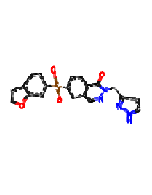 O=c1c2ccc(S(=O)(=O)c3ccc4ccoc4c3)cc2cnn1Cc1cc[nH]n1